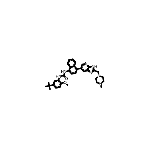 COc1ccc(C(C)(C)C)cc1NC(=O)Nc1ccc(-c2cnc3[nH]c(CN4CCN(C)CC4)nc3c2)c2ccccc12